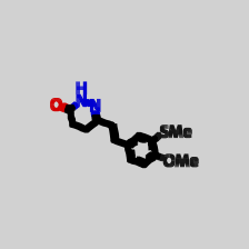 COc1ccc(C=CC2=NNC(=O)CC2)cc1SC